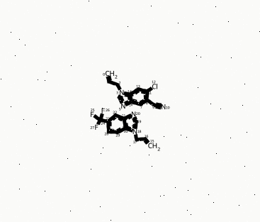 C=CCn1cnc2cc(C#N)c(Cl)cc21.C=CCn1cnc2cc(C(F)(F)F)ccc21